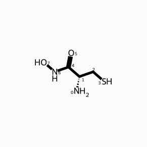 N[C@@H](CS)C(=O)NO